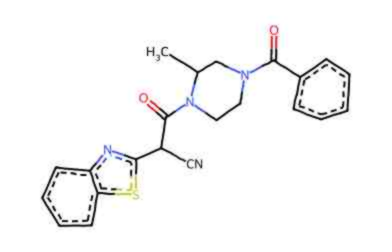 CC1CN(C(=O)c2ccccc2)CCN1C(=O)C(C#N)c1nc2ccccc2s1